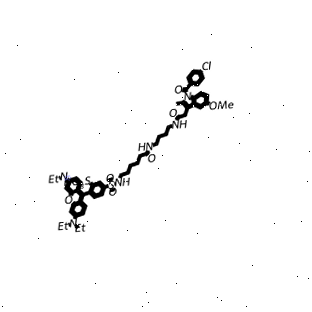 CC/N=c1/ccc2c(-c3ccc(S(=O)(=O)NCCCCCC(=O)NCCCCNC(=O)Cc4c(C)n(C(=O)c5ccc(Cl)cc5)c5ccc(OC)cc45)cc3S(=O)(=O)O)c3ccc(N(CC)CC)cc3oc-2c1